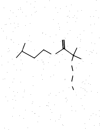 CC(O)CCOC(=O)C(F)(F)SOOO